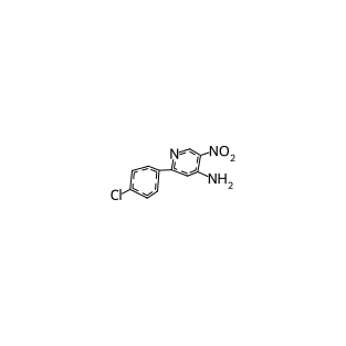 Nc1cc(-c2ccc(Cl)cc2)ncc1[N+](=O)[O-]